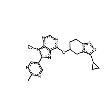 CCn1c(-c2cnc(C)nc2)nc2c(OC3CCc4nnc(C5CC5)n4C3)ncnc21